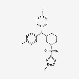 C[n+]1ccn(S(=O)(=O)N2CCCC(C(c3ccc(F)cc3)c3ccc(F)cc3)C2)c1